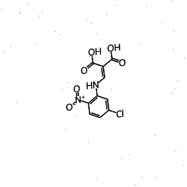 O=C(O)C(=CNc1cc(Cl)ccc1[N+](=O)[O-])C(=O)O